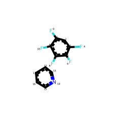 Fc1cc(F)c(F)c(F)c1F.c1ccncc1